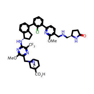 COc1nc(-c2cccc(-c3cccc4c3CC[C@@H]4Nc3nc(OC)c(CN4CC5(C(=O)O)CCC4CC5)nc3C(F)(F)F)c2Cl)ccc1CNC[C@H]1CCC(=O)N1